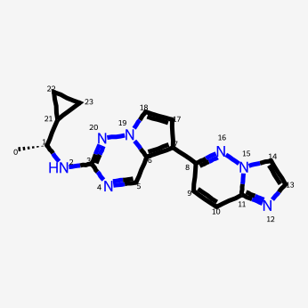 C[C@@H](Nc1ncc2c(-c3ccc4nccn4n3)ccn2n1)C1CC1